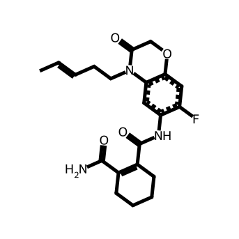 C/C=C/CCN1C(=O)COc2cc(F)c(NC(=O)C3=C(C(N)=O)CCCC3)cc21